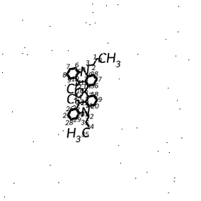 CCCCN1c2ccccc2C(Cl)c2c(C(=O)c3cccc4c3C(Cl)c3ccccc3N4CCCC)cccc21